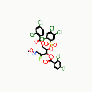 CON=CC(F)C(OC(=O)c1ccc(Cl)cc1Cl)C(COC(=O)c1ccc(Cl)cc1Cl)OS(=O)(=O)c1cc(Cl)c(Cl)cc1Cl